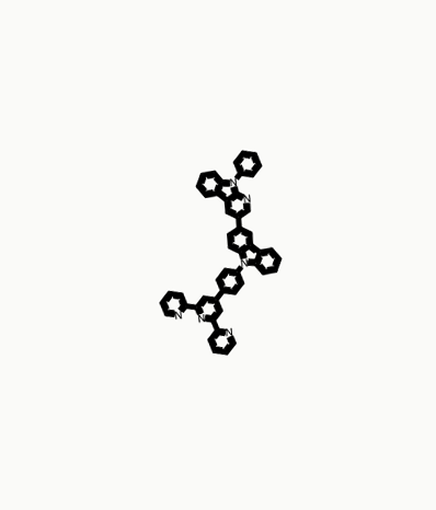 c1ccc(-n2c3ccccc3c3cc(-c4ccc5c(c4)c4ccccc4n5-c4ccc(-c5cc(-c6ccccn6)nc(-c6ccccn6)c5)cc4)cnc32)cc1